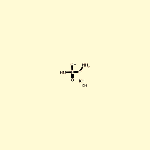 NOP(=O)(O)O.[KH].[KH]